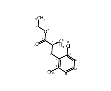 CCOC(=O)[C@@H](C)Cc1c(Cl)cccc1Cl